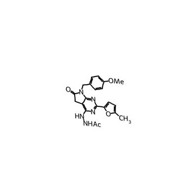 COc1ccc(CN2C(=O)Cc3c(NNC(C)=O)nc(-c4ccc(C)o4)nc32)cc1